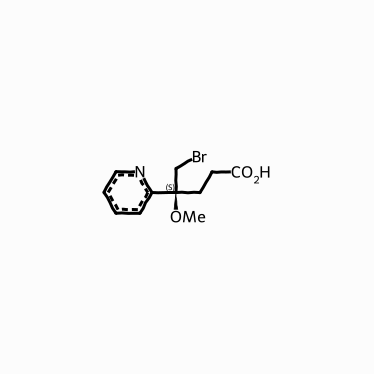 CO[C@@](CBr)(CCC(=O)O)c1ccccn1